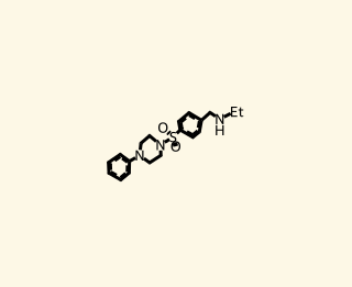 CCNCc1ccc(S(=O)(=O)N2CCN(c3ccccc3)CC2)cc1